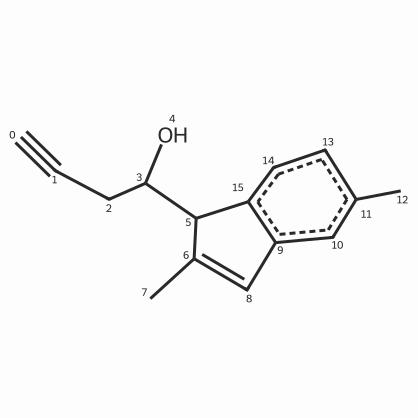 C#CCC(O)C1C(C)=Cc2cc(C)ccc21